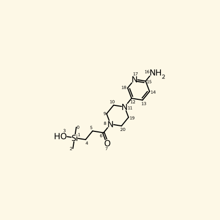 C[Si](C)(O)CCC(=O)N1CCN(c2ccc(N)nc2)CC1